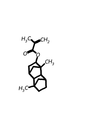 C=C(C)C(=O)OC1CC2CC1(C)C1C3CCC(C)(C3)C21